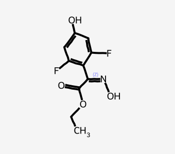 CCOC(=O)/C(=N\O)c1c(F)cc(O)cc1F